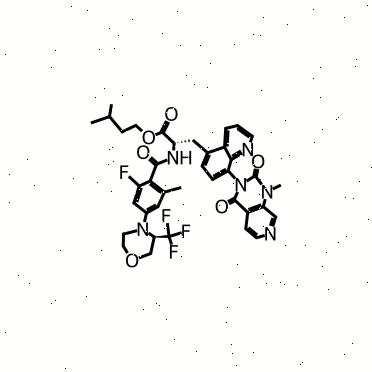 Cc1cc(N2CCOC[C@@H]2C(F)(F)F)cc(F)c1C(=O)N[C@@H](Cc1ccc(-n2c(=O)c3ccncc3n(C)c2=O)c2ncccc12)C(=O)OCCC(C)C